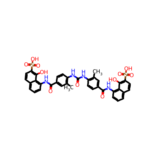 Cc1cc(C(=O)Nc2cccc3ccc(S(=O)(=O)O)c(O)c23)ccc1NC(=O)Nc1ccc(C(=O)Nc2cccc3ccc(S(=O)(=O)O)c(O)c23)cc1C